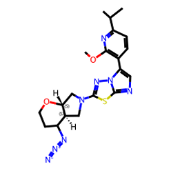 COc1nc(C(C)C)ccc1-c1cnc2sc(N3C[C@H]4OCCC(N=[N+]=[N-])[C@@H]4C3)nn12